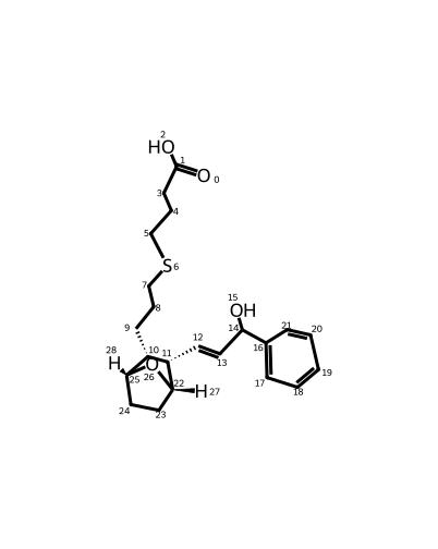 O=C(O)CCCSCCC[C@@H]1[C@H](/C=C/C(O)c2ccccc2)[C@@H]2CC[C@H]1O2